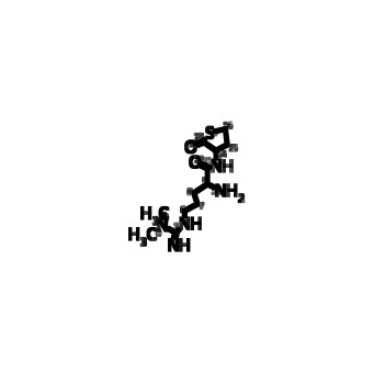 CN(C)C(=N)NCCCC(N)C(=O)NC1CCSC1=O